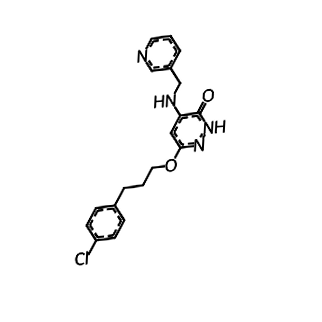 O=c1[nH]nc(OCCCc2ccc(Cl)cc2)cc1NCc1cccnc1